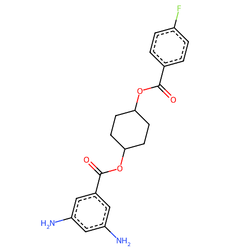 Nc1cc(N)cc(C(=O)OC2CCC(OC(=O)c3ccc(F)cc3)CC2)c1